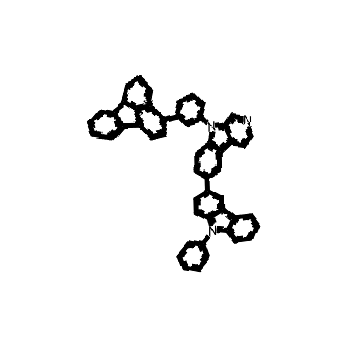 c1ccc(-n2c3ccccc3c3cc(-c4ccc5c(c4)c4ccncc4n5-c4cccc(-c5ccc6c7c(cccc57)-c5ccccc5-6)c4)ccc32)cc1